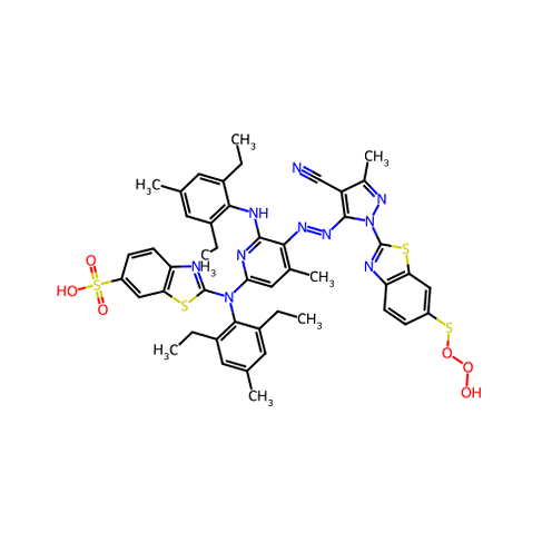 CCc1cc(C)cc(CC)c1Nc1nc(N(c2nc3ccc(S(=O)(=O)O)cc3s2)c2c(CC)cc(C)cc2CC)cc(C)c1N=Nc1c(C#N)c(C)nn1-c1nc2ccc(SOOO)cc2s1